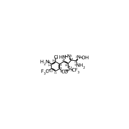 NC(=NO)c1n[nH]c(-c2c(Cl)cc(C(F)(F)F)c(N)c2Cl)c1[S+]([O-])C(F)(F)F